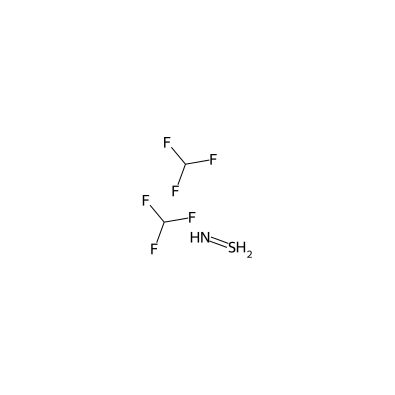 FC(F)F.FC(F)F.N=[SH2]